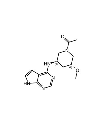 CO[C@@H]1C[C@@H](Nc2ncnc3[nH]ccc23)CN(C(C)=O)C1